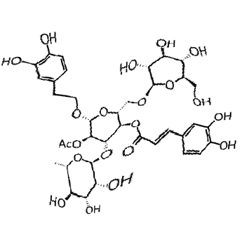 CC(=O)O[C@H]1[C@H](OCCc2ccc(O)c(O)c2)O[C@H](CO[C@@H]2O[C@H](CO)[C@@H](O)[C@H](O)[C@H]2O)[C@@H](OC(=O)/C=C/c2ccc(O)c(O)c2)[C@@H]1O[C@@H]1O[C@@H](C)[C@H](O)[C@@H](O)[C@H]1O